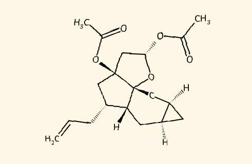 C=CC[C@@H]1C[C@]2(OC(C)=O)C[C@H](OC(C)=O)O[C@@]23C[C@H]2C[C@H]2C[C@H]13